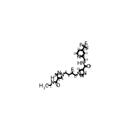 CCNC(=O)c1cn(CCC(F)Cn2cc(C(=O)NCc3cc(C(F)(F)F)ccn3)nn2)nn1